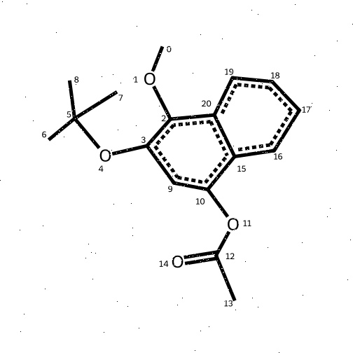 COc1c(OC(C)(C)C)cc(OC(C)=O)c2ccccc12